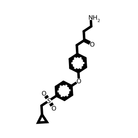 NCCC(=O)Cc1ccc(Oc2ccc(S(=O)(=O)CC3CC3)cc2)cc1